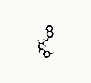 Cc1cc(=O)c(OCc2ccc3ccccc3n2)nn1-c1cccc(F)c1